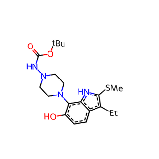 CCc1c(SC)[nH]c2c(N3CCN(NC(=O)OC(C)(C)C)CC3)c(O)ccc12